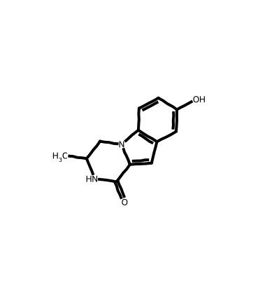 CC1Cn2c(cc3cc(O)ccc32)C(=O)N1